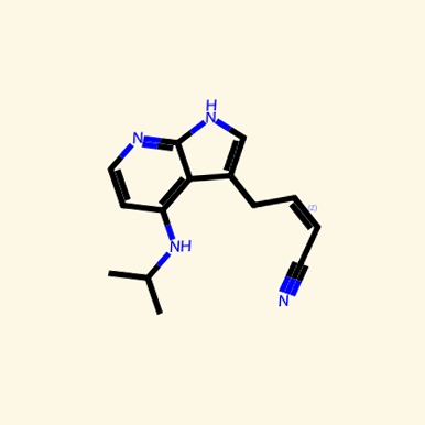 CC(C)Nc1ccnc2[nH]cc(C/C=C\C#N)c12